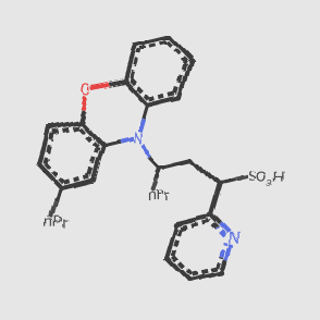 CCCc1ccc2c(c1)N(C(CCC)CC(c1ccccn1)S(=O)(=O)O)c1ccccc1O2